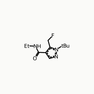 CCNC(=O)c1cnn(C(C)(C)C)c1CF